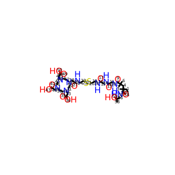 CCC(C)(CC(C)(C)C(=O)NCC(=O)NCC(=O)NCCSSCCNC(=O)CN1CCN(CC(=O)O)CCN(CC(=O)O)CCN(CC(=O)O)CC1)C(=O)NCC(C)O